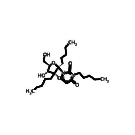 CCCCCn1c(=O)ccn([C@]2(CCCCC)O[C@H](CO)[C@@H](O)[C@]2(O)CCCCC)c1=O